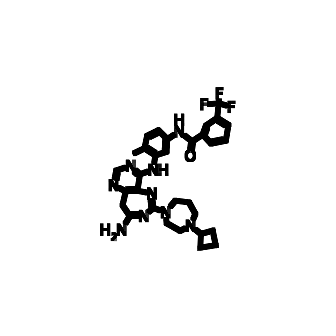 Cc1ccc(NC(=O)c2cccc(C(F)(F)F)c2)cc1Nc1ncnc2c1N=C(N1CCCN(C3CCC3)CC1)N=C(N)C2